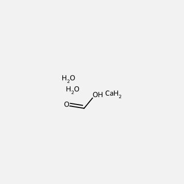 O.O.O=CO.[CaH2]